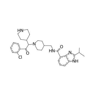 CC(C)c1nc2c(C(=O)NCC3CCN(C(C(=O)c4ccccc4Cl)C4CCNCC4)CC3)cccc2[nH]1